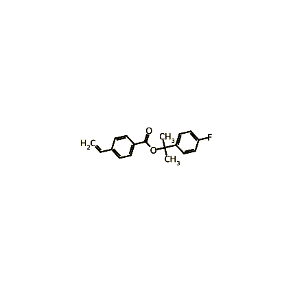 C=Cc1ccc(C(=O)OC(C)(C)c2ccc(F)cc2)cc1